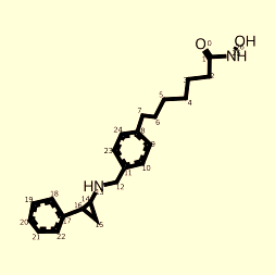 O=C(CCCCCCc1ccc(CNC2CC2c2ccccc2)cc1)NO